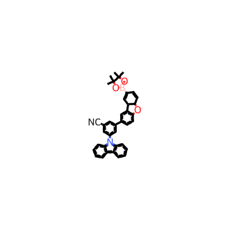 CC1(C)OB(C2=CC3c4cc(-c5cc(C#N)cc(-n6c7ccccc7c7ccccc76)c5)ccc4OC3C=C2)OC1(C)C